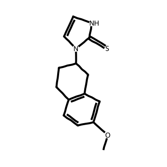 COc1ccc2c(c1)CC(n1cc[nH]c1=S)CC2